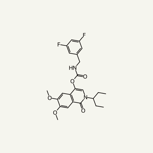 CCC(CC)n1cc(OC(=O)NCc2cc(F)cc(F)c2)c2cc(OC)c(OC)cc2c1=O